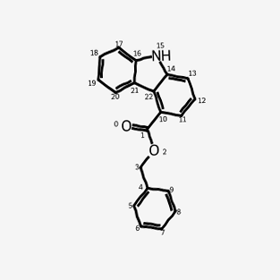 O=C(OCc1ccccc1)c1cccc2[nH]c3ccccc3c12